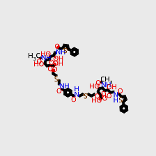 CC(=O)N[C@H]1[C@H]([C@H](O)[C@H](O)CNC(=O)c2ccc(-c3ccccc3)s2)O[C@@](OCCCSCCNC(=O)c2ccc(C(=O)NCCSCCCO[C@]3(C(=O)O)C[C@H](O)[C@@H](NC(C)=O)[C@H]([C@H](O)[C@H](O)CNC(=O)c4ccc(-c5ccccc5)s4)O3)cc2)(C(=O)O)C[C@@H]1O